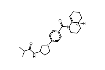 CN(C)C(=O)NC1CCN(c2ccc(C(=O)N3CCC[C@H]4CCCC=C43)cc2)C1